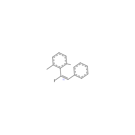 Cc1cccc(C)c1/C(I)=C\c1ccccc1